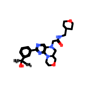 CC(C)(O)c1cccc(-c2ncc3c(n2)N2CCOCC2CN3CC(=O)NCC2CCOCC2)c1